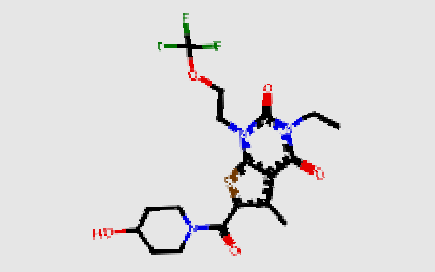 CCn1c(=O)c2c(C)c(C(=O)N3CCC(O)CC3)sc2n(CCOC(F)(F)F)c1=O